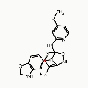 COc1ccnc(NC23N=CC(C)=C(NO2)N3c2ccc3c(c2)NCO3)c1